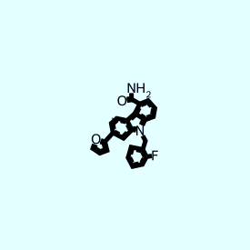 NC(=O)c1cccc2c1c1[c]cc(-c3ccco3)cc1n2Cc1ccccc1F